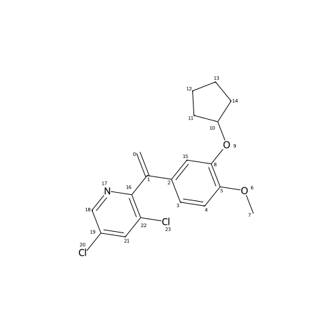 C=C(c1ccc(OC)c(OC2CCCC2)c1)c1ncc(Cl)cc1Cl